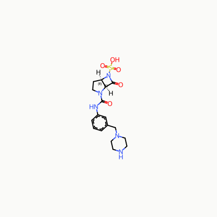 O=C(Nc1cccc(CN2CCNCC2)c1)N1CC[C@@H]2[C@H]1C(=O)N2S(=O)(=O)O